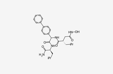 CC(C)C[C@@H](CC(=O)NO)C(=O)NC(C(=O)N[C@@H](CC(C)C)C(N)=O)c1ccc(-c2ccccc2)cc1